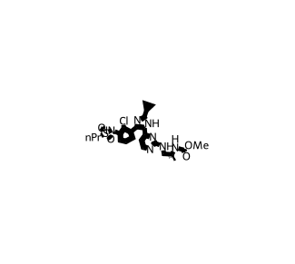 CCCS(=O)(=O)Nc1cccc(-c2nc(C3CC3)[nH]c2-c2ccnc(NC[C@H](C)NC(=O)OC)n2)c1Cl